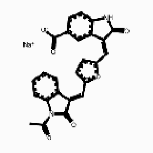 CC(=O)N1C(=O)/C(=C/c2ccc(/C=C3/C(=O)Nc4ccc(C(=O)[O-])cc43)o2)c2ccccc21.[Na+]